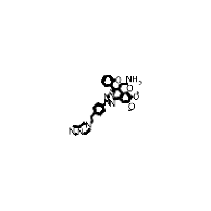 COc1cc(-c2nnn(-c3ccc(CCN4CCn5cncc5C4)cc3)n2)c(-c2c(C(N)=O)oc3ccccc3c2=O)cc1OC